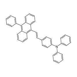 C(=Cc1c2ccccc2c(-c2ccccc2)c2ccccc12)c1ccc(N(c2ccccc2)c2ccccc2)cc1